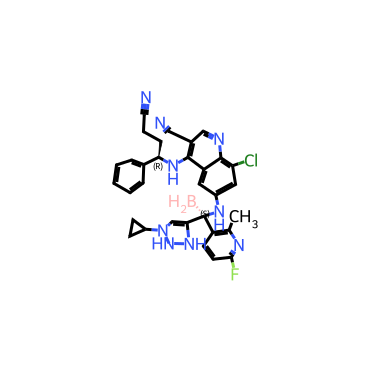 B[C@@](Nc1cc(Cl)c2ncc(C#N)c(N[C@H](CCC#N)c3ccccc3)c2c1)(C1=CN(C2CC2)NN1)c1ccc(F)nc1C